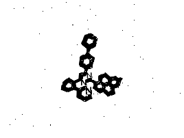 c1ccc(-c2ccc(-c3cc(-c4ccccc4-c4cccnc4)nc(-c4ccc5ccc6cccc7ccc4c5c67)n3)cc2)cc1